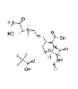 C[N+](C)(C/C=C/C1=C(C(=O)O)N2C(=O)[C@@H](NC=O)[C@H]2SC1)[C@H](CO)C(N)=O.O=C(O)C(F)(F)F